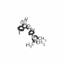 C[C@@H]1CN(c2ccc(N/C=C3\C(=O)NC(=O)c4ccc(I)cc43)cc2)C[C@H](C)N1C